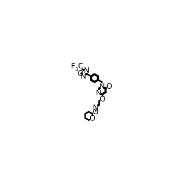 O=c1cc(OCC=NOC2CCCCO2)ncn1Cc1ccc(-c2noc(C(F)(F)F)n2)cc1